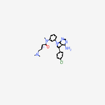 CN(C)C/C=C/C(=O)N(C)c1cccc(-n2cc(-c3ccc(Cl)cc3)c3c(N)ncnc32)c1